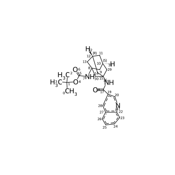 CC(C)(C)OC(=O)NC12C[C@H]3C[C@@H](C1)CC(NC(=O)c1cnc4ccccc4c1)(C3)C2